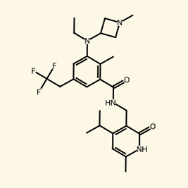 CCN(c1cc(CC(F)(F)F)cc(C(=O)NCc2c(C(C)C)cc(C)[nH]c2=O)c1C)C1CN(C)C1